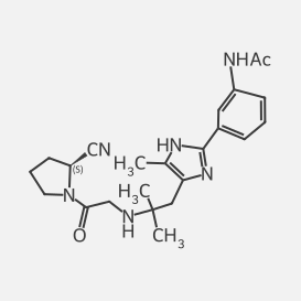 CC(=O)Nc1cccc(-c2nc(CC(C)(C)NCC(=O)N3CCC[C@H]3C#N)c(C)[nH]2)c1